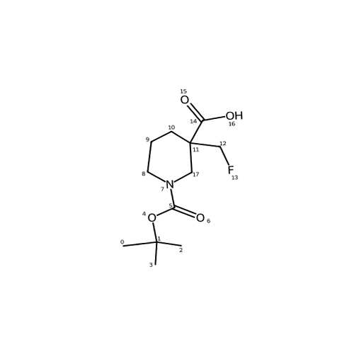 CC(C)(C)OC(=O)N1CCCC(CF)(C(=O)O)C1